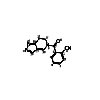 N#Cc1ccccc1C(=O)N1C=C2C=NN=C2CC1